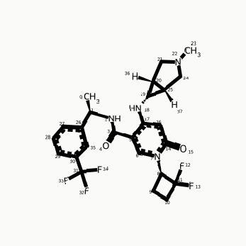 C[C@@H](NC(=O)c1cn([C@@H]2CCC2(F)F)c(=O)cc1N[C@@H]1[C@@H]2CN(C)C[C@@H]21)c1cccc(C(F)(F)F)c1